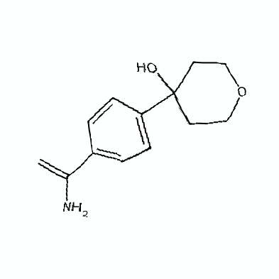 C=C(N)c1ccc(C2(O)CCOCC2)cc1